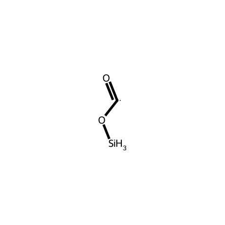 O=[C]O[SiH3]